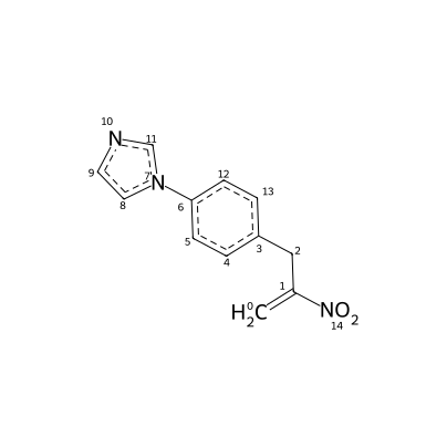 C=C(Cc1ccc(-n2ccnc2)cc1)[N+](=O)[O-]